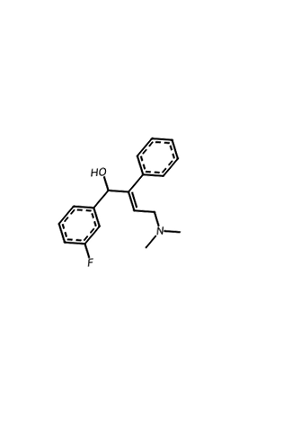 CN(C)C/C=C(\c1ccccc1)C(O)c1cccc(F)c1